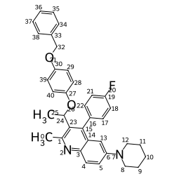 Cc1nc2ccc(N3CCCCC3)cc2c(-c2ccc(F)cc2)c1C(C)Oc1ccc(OCc2ccccc2)cc1